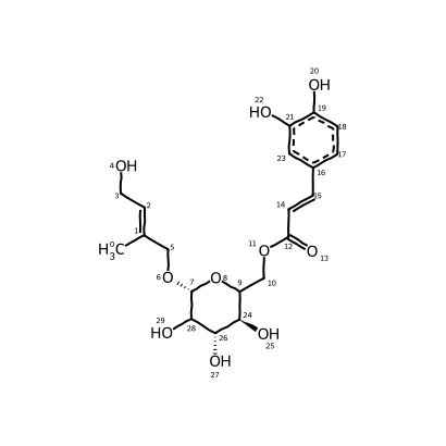 C/C(=C\CO)CO[C@@H]1OC(COC(=O)/C=C/c2ccc(O)c(O)c2)[C@@H](O)[C@H](O)C1O